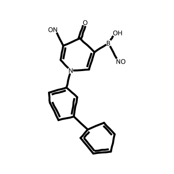 O=NB(O)c1cn(-c2cccc(C3=C=C=CC=C3)c2)cc(N=O)c1=O